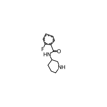 O=C(NC1CCCNC1)c1ccccc1F